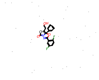 CC(=O)N1N=C(c2cc(F)ccc2F)OC1(CCCO)c1ccccc1